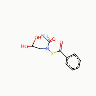 NC(=O)N(CC(O)O)SC(=O)c1ccccc1